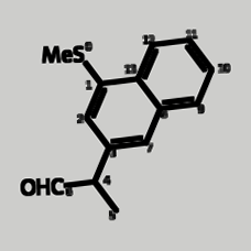 CSc1cc(C(C)C=O)cc2ccccc12